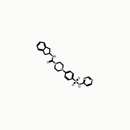 O=C(NC1Cc2ccccc2C1)N1CCN(c2ccc(S(=O)(=O)Nc3ccncn3)cc2)CC1